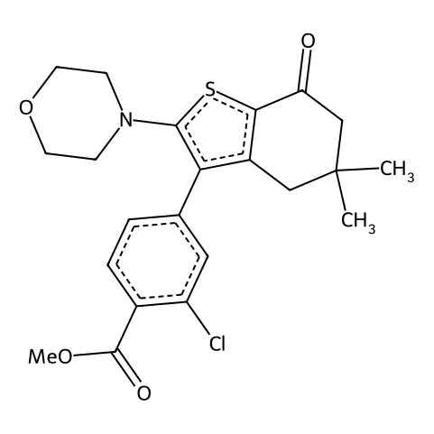 COC(=O)c1ccc(-c2c(N3CCOCC3)sc3c2CC(C)(C)CC3=O)cc1Cl